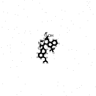 COC1(O)C2c3c(cc(C(C)(C)C)c4ccccc34)-c3c4c(nc[n+]3C21)oc1c2cccc(CC(C)C)c2ccc14